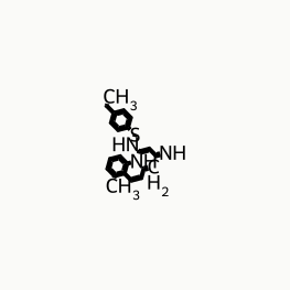 C=C/C=C\c1c(C)cccc1N/C(=C\C=N)NSc1ccc(CC)cc1